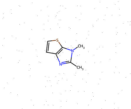 Cc1nc2ccsc2n1C